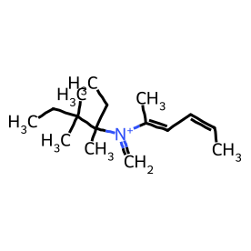 C=[N+](/C(C)=C/C=C\C)C(C)(CC)C(C)(C)CC